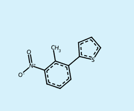 Cc1c(-c2cccs2)cccc1[N+](=O)[O-]